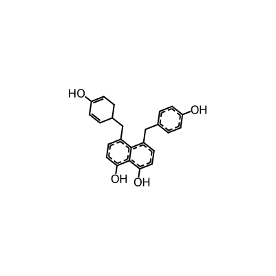 OC1=CCC(Cc2ccc(O)c3c(O)ccc(Cc4ccc(O)cc4)c23)C=C1